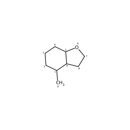 CC1CCCC2OCCC12